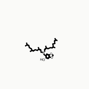 CC(C)=CCCC(C)=CCCC(C)=CCN(CC=C(C)CCC=C(C)CCC=C(C)C)Cc1ccc2c(c1)OCO2.Cl